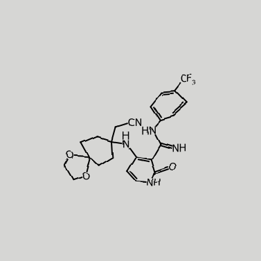 N#CCC1(Nc2cc[nH]c(=O)c2C(=N)Nc2ccc(C(F)(F)F)cc2)CCC2(CC1)OCCO2